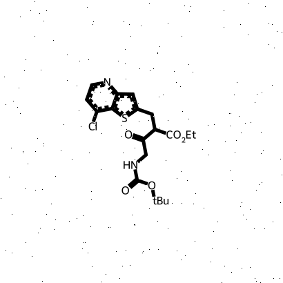 CCOC(=O)C(Cc1cc2nccc(Cl)c2s1)C(=O)CNC(=O)OC(C)(C)C